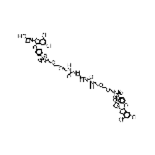 O=C(NCCCCNC(=O)NCCOCCOCCNS(=O)(=O)c1ccc(O[C@H]2c3cc(Cl)cc(Cl)c3C[C@@H]2N2CC[C@@H](O)C2)cc1)NCCOCCOCCNS(=O)(=O)c1ccc(O[C@H]2c3cc(Cl)cc(Cl)c3C[C@@H]2N2CC[C@@H](O)C2)cc1